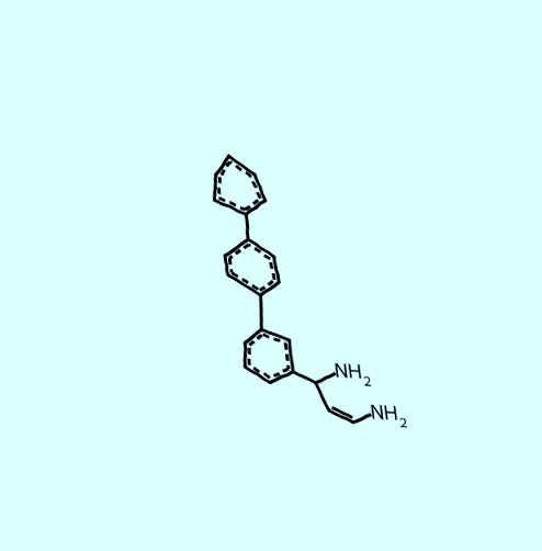 N/C=C\C(N)c1cccc(-c2ccc(-c3ccccc3)cc2)c1